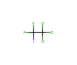 FC(F)(I)C(Cl)(Cl)Cl